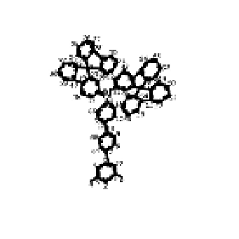 Cc1cc(C)cc(-c2ccc(-c3ccc(N(c4ccc5c(c4)C4(c6ccccc6-c6ccccc64)c4ccccc4-5)c4ccc5c(c4)C4(c6ccccc6-c6ccccc64)c4ccccc4-5)cc3)cc2)c1